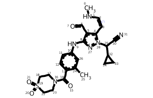 CN/C=C\c1c(C=O)c(Nc2ccc(C(=O)N3CCS(=O)(=O)CC3)c(C)c2)nn1C(C#N)C1CC1